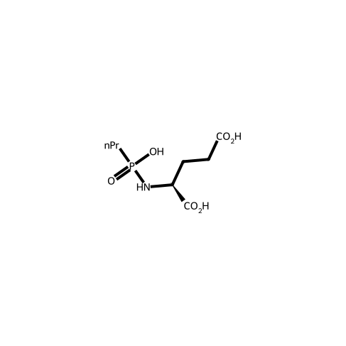 CCCP(=O)(O)N[C@@H](CCC(=O)O)C(=O)O